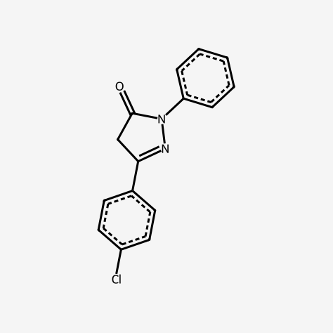 O=C1CC(c2ccc(Cl)cc2)=NN1c1ccccc1